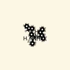 CC1(C)c2ccccc2-c2cccc(-c3cccc(C(NCc4c5ccccc5cc5c4ccc4ccccc45)NC(N)c4ccccc4)c3)c21